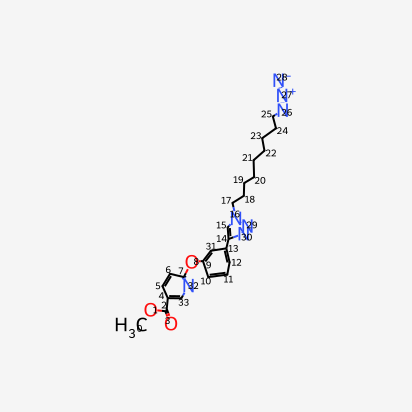 COC(=O)c1ccc(Oc2cccc(-c3cn(CCCCCCCCCN=[N+]=[N-])nn3)c2)nc1